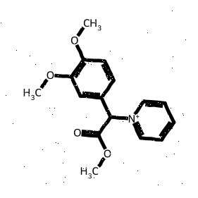 COC(=O)C(c1ccc(OC)c(OC)c1)[n+]1ccccc1